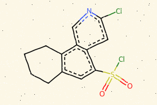 O=S(=O)(Cl)c1cc2c(c3cnc(Cl)cc13)CCCC2